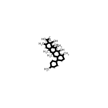 CC1CCC(C2CCC(C)C3C(O)C4C(C)C5(C)C(O)C(C(C)O)C(C)CC5(C)CC4(C)CC23)CC1